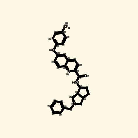 O=C(NC1CCC2CN(Cc3ccccc3)CC21)c1ccc2cc(Oc3ccc(C(F)(F)F)cn3)ccc2n1